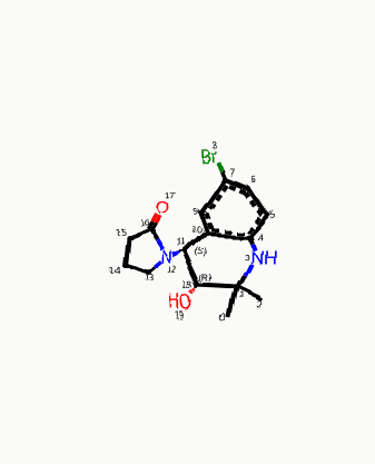 CC1(C)Nc2ccc(Br)cc2[C@H](N2CCCC2=O)[C@H]1O